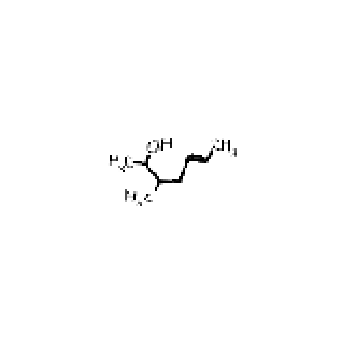 CC=CCC(C)C(C)O